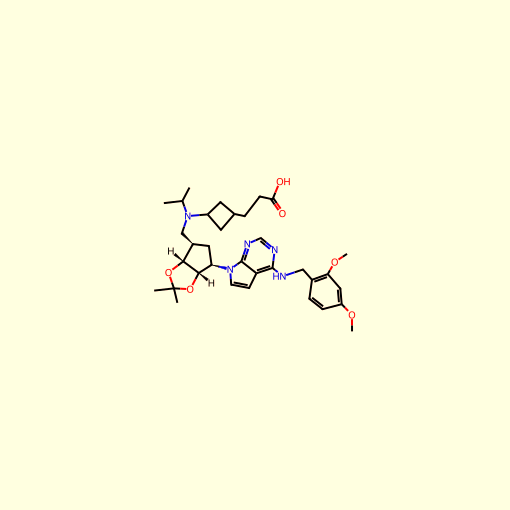 COc1ccc(CNc2ncnc3c2ccn3[C@@H]2C[C@H](CN(C(C)C)C3CC(CCC(=O)O)C3)[C@H]3OC(C)(C)O[C@H]32)c(OC)c1